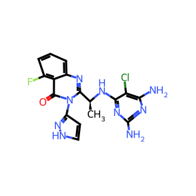 C[C@H](Nc1nc(N)nc(N)c1Cl)c1nc2cccc(F)c2c(=O)n1-c1cc[nH]n1